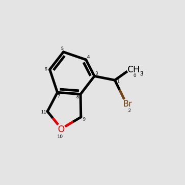 CC(Br)c1cccc2c1COC2